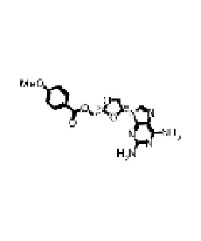 COc1ccc(C(=O)OC[C@@H]2OC[C@H](n3cnc4c(N)nc(N)nc43)O2)cc1